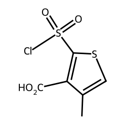 Cc1csc(S(=O)(=O)Cl)c1C(=O)O